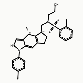 Cc1ccccc1S(=O)(=O)N(CCO)C[C@H]1CCC2=C1[C@@H](C)C1=CNN(c3ccc(F)cc3)C1=C2